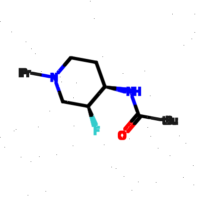 CC(C)N1CC[C@@H](NC(=O)C(C)(C)C)[C@@H](F)C1